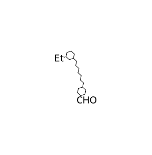 CCC1CCCC(CCCCCCCC2CCC(C=O)CC2)C1